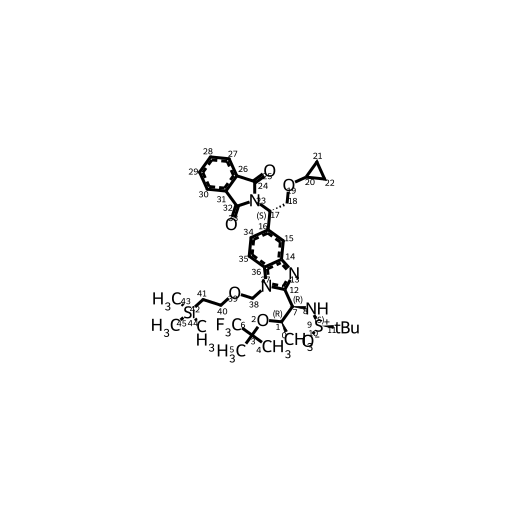 C[C@@H](OC(C)(C)C(F)(F)F)[C@H](N[S@+]([O-])C(C)(C)C)c1nc2cc([C@@H](COC3CC3)N3C(=O)c4ccccc4C3=O)ccc2n1COCC[Si](C)(C)C